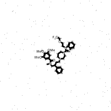 COc1cc(C(=O)N(C)CC(CCN2CCCN(c3nc4ccccc4n3CCOCC(F)(F)F)CC2)c2ccccc2)cc(OC)c1OC